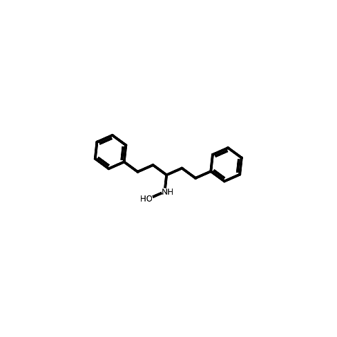 ONC(CCc1ccccc1)CCc1ccccc1